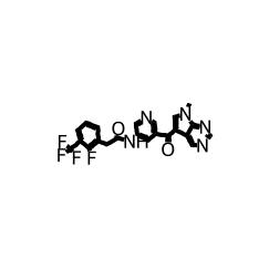 Cn1cc(C(=O)c2cncc(NC(=O)Cc3cccc(C(F)(F)F)c3F)c2)c2cncnc21